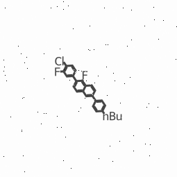 CCCCc1ccc(-c2ccc3c(F)c(-c4ccc(Cl)c(F)c4)ccc3c2)cc1